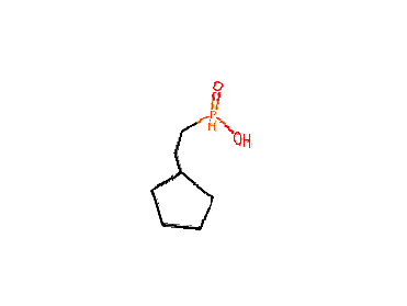 O=[PH](O)CC1CCCC1